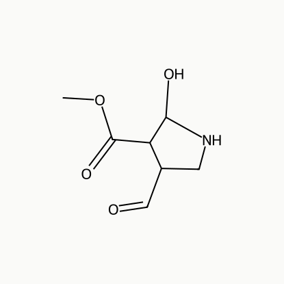 COC(=O)C1C(C=O)CNC1O